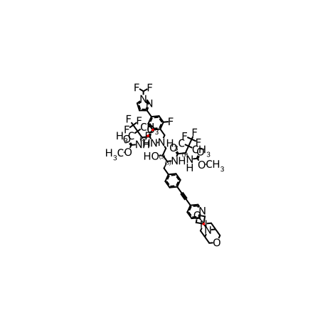 COC(=O)N[C@H](C(=O)N[C@@H](Cc1ccc(C#Cc2ccc(N3CC4COCC(C3)N4C3COC3)nc2)cc1)[C@@H](O)CN(Cc1c(F)cc(-c2ccn(C(F)F)n2)cc1F)NC(=O)[C@@H](NC(=O)OC)C(C)(C)C(F)(F)F)C(C)(C)C(F)(F)F